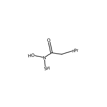 CCCCC(=O)N(O)S